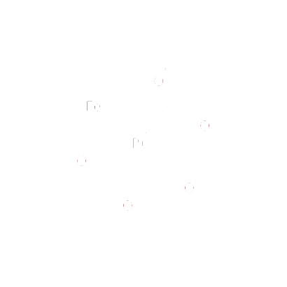 O=[CH][Pt]([CH]=O)([CH]=O)([CH]=O)[CH]=O.[Fe]